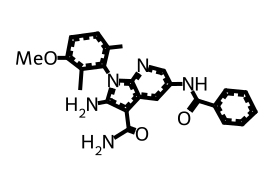 COc1ccc(C)c(-n2c(N)c(C(N)=O)c3cc(NC(=O)c4ccccc4)cnc32)c1C